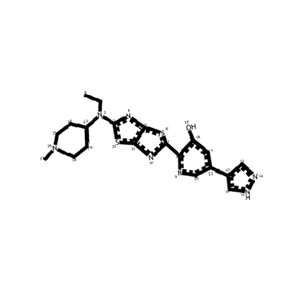 CCN(c1nc2sc(-c3ncc(-c4cn[nH]c4)cc3O)nc2s1)C1CCN(C)CC1